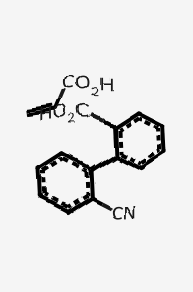 C=CC(=O)O.N#Cc1ccccc1-c1ccccc1C(=O)O